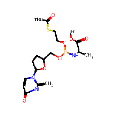 C=C1NC(=O)C=CN1C1CCC(COP(NC(C)C(=O)OC(C)C)OCCSC(=O)C(C)(C)C)O1